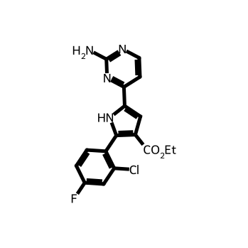 CCOC(=O)c1cc(-c2ccnc(N)n2)[nH]c1-c1ccc(F)cc1Cl